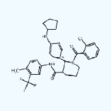 Cc1ccc(NC(=O)C2CCCN(C(=O)c3ccccc3Cl)C2[C@@H]2C=CC(NC3CCCC3)=CC2)cc1C(F)(F)F